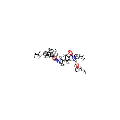 COCCCN(C)C(=O)c1ccc(-c2ccn(COCC[Si](C)(C)C)c2)cc1